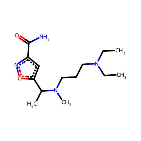 CCN(CC)CCCN(C)C(C)c1cc(C(N)=O)no1